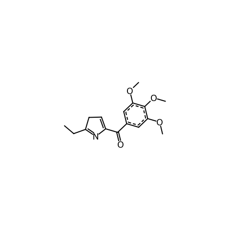 CCC1=NC(C(=O)c2cc(OC)c(OC)c(OC)c2)=CC1